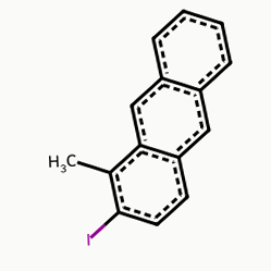 Cc1c(I)ccc2cc3ccccc3cc12